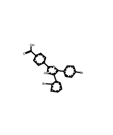 O=C(O)c1ccc(-c2nc(-c3ccc(Br)cc3)c(-c3ccccc3Br)[nH]2)cc1